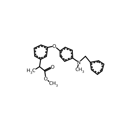 COC(=O)C(C)c1cccc(Oc2ccc(N(C)Cc3ccccc3)cc2)c1